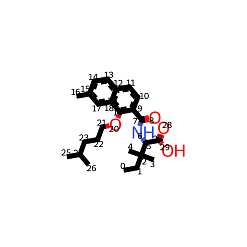 CCC(C)(C)C(NC(=O)c1ccc2ccc(C)cc2c1OCCCC(C)C)C(=O)O